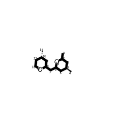 CC1C[C@@H](C)CC(CC2C[C@@H](C)CCO2)O1